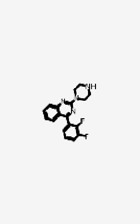 Fc1cccc(-c2nc(N3CCNCC3)nc3ccccc23)c1F